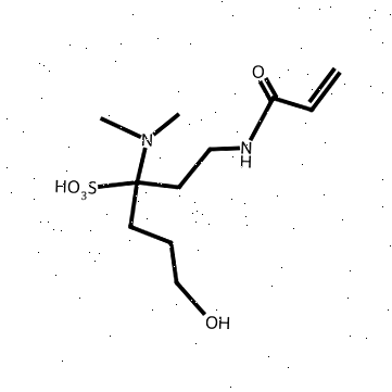 C=CC(=O)NCCC(CCCO)(N(C)C)S(=O)(=O)O